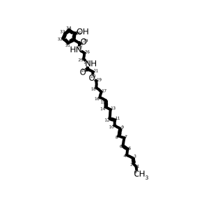 CCC=CCC=CCC=CCC=CCC=CCCCCOCC(=O)NCCNC(=O)c1ccccc1O